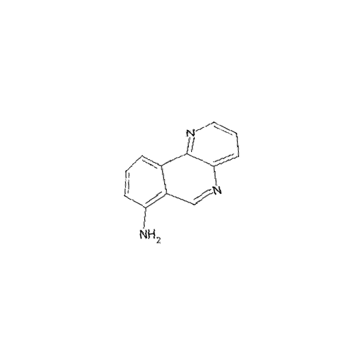 Nc1cccc2c1cnc1cccnc12